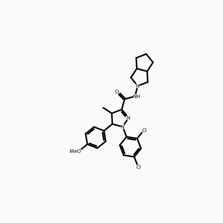 COc1ccc(C2C(C)C(C(=O)NN3CC4CCCC4C3)=NN2c2ccc(Cl)cc2Cl)cc1